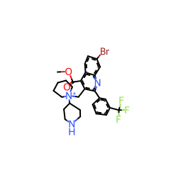 COC(=O)c1c(C[N+]2(C3CCNCC3)CCCCC2)c(-c2cccc(C(F)(F)F)c2)nc2cc(Br)ccc12